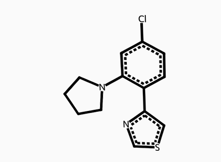 Clc1ccc(-c2cscn2)c(N2CCCC2)c1